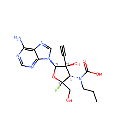 C#C[C@@]1(O)[C@H](n2cnc3c(N)ncnc32)O[C@@](F)(CO)[C@H]1N(CCC)C(=O)O